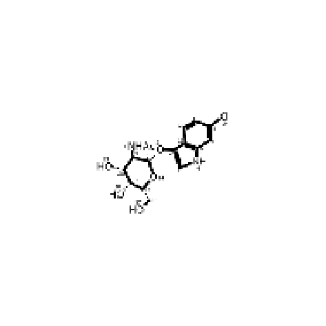 CC(=O)N[C@H]1[C@H](Oc2c[nH]c3cc(Cl)ccc23)O[C@H](CO)[C@H](O)[C@@H]1O